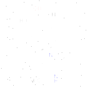 C[C@@H]1CN(c2ccc(C(C)(C)O)cc2)CCN1